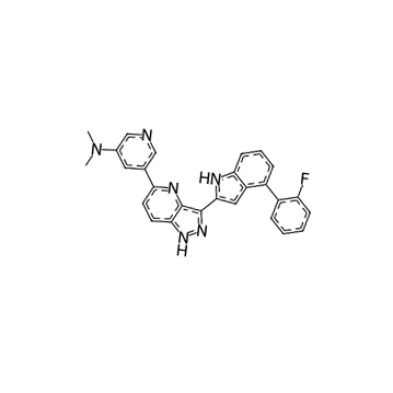 CN(C)c1cncc(-c2ccc3[nH]nc(-c4cc5c(-c6ccccc6F)cccc5[nH]4)c3n2)c1